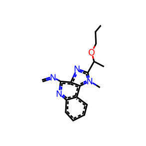 C=Nc1nc2ccccc2c2c1nc(C(C)OCCC)n2C